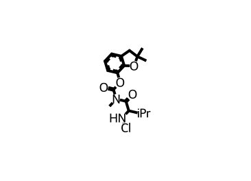 CC(C)C(NCl)C(=O)N(C)C(=O)Oc1cccc2c1OC(C)(C)C2